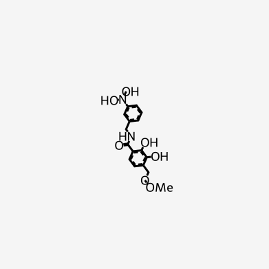 COOCc1ccc(C(=O)NCc2cccc(N(O)O)c2)c(O)c1O